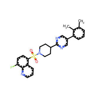 Cc1cccc(-c2cnc(C3CCN(S(=O)(=O)c4ccc(F)c5ncccc45)CC3)nc2)c1C